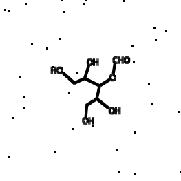 O=COC(C(O)CO)C(O)CO